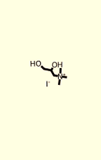 C[N+](C)(C)CC(O)CO.[I-]